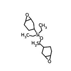 CC[Si](CC)(O[SiH2]C1CCC2OC2C1)C1CCC2OC2C1